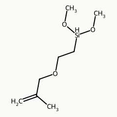 C=C(C)COCC[SiH](OC)OC